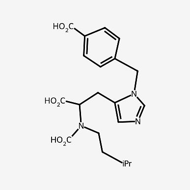 CC(C)CCN(C(=O)O)C(Cc1cncn1Cc1ccc(C(=O)O)cc1)C(=O)O